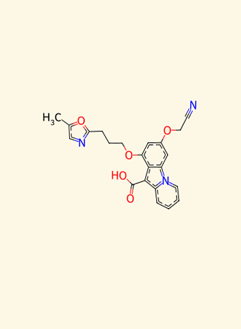 Cc1cnc(CCCOc2cc(OCC#N)cc3c2c(C(=O)O)c2ccccn23)o1